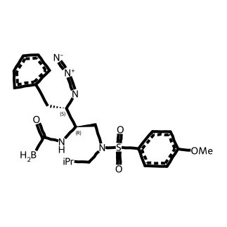 BC(=O)N[C@H](CN(CC(C)C)S(=O)(=O)c1ccc(OC)cc1)[C@H](Cc1ccccc1)N=[N+]=[N-]